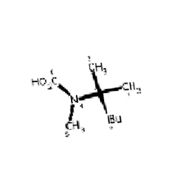 CC[C@H](C)C(C)(C)N(C)C(=O)O